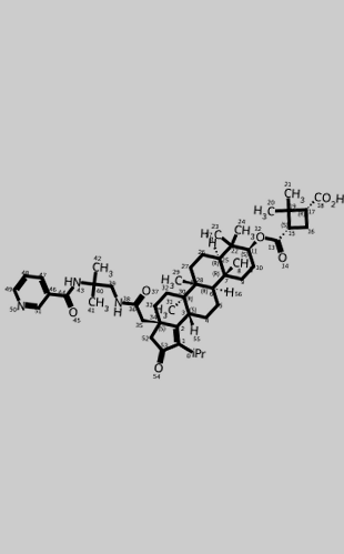 CC(C)C1=C2[C@H]3CC[C@@H]4[C@@]5(C)CC[C@H](OC(=O)[C@H]6C[C@@H](C(=O)O)C6(C)C)C(C)(C)[C@@H]5CC[C@@]4(C)[C@]3(C)CC[C@@]2(CC(=O)NCC(C)(C)NC(=O)c2cccnc2)CC1=O